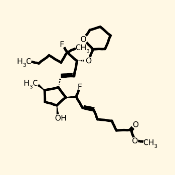 CCCCC(C)(F)[C@@H](C=C[C@@H]1[C@@H](C(F)C=CCCCC(=O)OC)[C@@H](O)C[C@H]1C)OC1CCCCO1